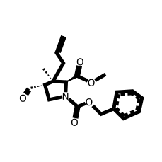 C=CC[C@]1(C)[C@@H](C=O)CN(C(=O)OCc2ccccc2)[C@@H]1C(=O)OC